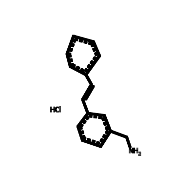 Cl.NCc1cccc(C=Cc2ccccc2)c1